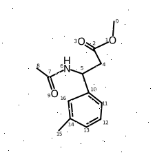 COC(=O)CC(NC(C)=O)c1cccc(C)c1